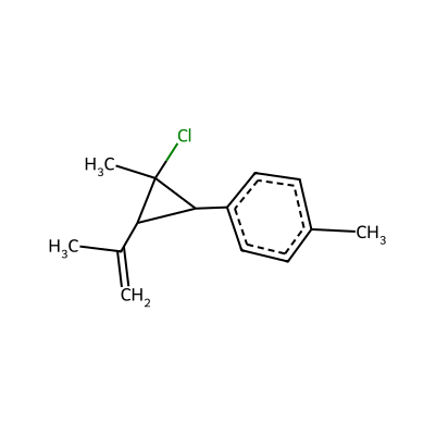 C=C(C)C1C(c2ccc(C)cc2)C1(C)Cl